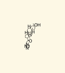 C[C@@]1(O)CC[C@@]2(C)[C@@H](CC[C@@H]3[C@@H]2CC[C@]2(C)[C@@H](C(=O)Cn4ccnn4)CC[C@@H]32)C1